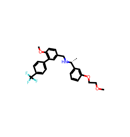 COCCOc1cccc([C@@H](C)NCc2ccc(OC)c(-c3ccc(C(F)(F)F)cc3)c2)c1